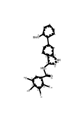 COc1ccccc1-c1ccc2c(NC(=O)c3cc(F)c(F)c(F)c3F)n[nH]c2c1